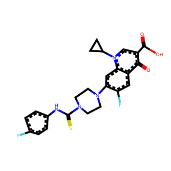 O=C(O)c1cn(C2CC2)c2cc(N3CCN(C(=S)Nc4ccc(F)cc4)CC3)c(F)cc2c1=O